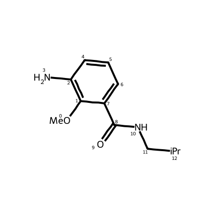 COc1c(N)cccc1C(=O)NCC(C)C